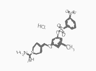 Cc1cc(OCC2CCN(C(=N)N)CC2)cc(OS(=O)(=O)c2cccc([N+](=O)[O-])c2)c1.Cl